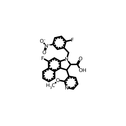 COc1ncccc1C1c2c(cc(F)c3ccccc23)N(Cc2cc([N+](=O)[O-])ccc2F)C1C(=O)O